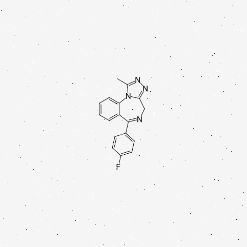 Cc1nnc2n1-c1ccccc1C(c1ccc(F)cc1)=NC2